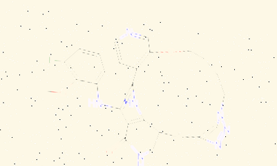 COc1c(F)cccc1Nc1c2[nH]c3c1C(=O)NCC3Cc1cn(nn1)CCCCOc1cnccc1-2